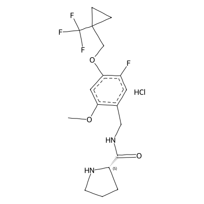 COc1cc(OCC2(C(F)(F)F)CC2)c(F)cc1CNC(=O)[C@@H]1CCCN1.Cl